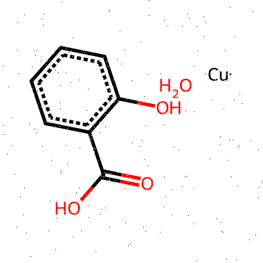 O.O=C(O)c1ccccc1O.[Cu]